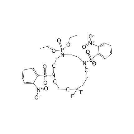 CCOP(=O)(OCC)N1CCN(S(=O)(=O)c2ccccc2[N+](=O)[O-])CCCC(F)(F)CCCN(S(=O)(=O)c2ccccc2[N+](=O)[O-])CC1